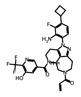 C=CC(=O)N1CCc2nn(-c3ccc(C4CCC4)c(F)c3N)c3c2[C@H](C1)N(C(=O)c1cnc(C(F)(F)F)c(O)c1)CC3